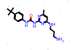 Cc1cc(NCCCN)nc(NC(=O)Nc2ccc(C(C)(C)C)cc2)n1